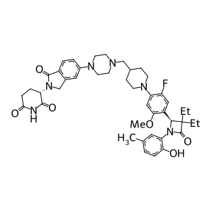 CCC1(CC)C(=O)N(c2cc(C)ccc2O)[C@H]1c1cc(F)c(N2CCC(CN3CCN(c4ccc5c(c4)CN([C@H]4CCC(=O)NC4=O)C5=O)CC3)CC2)cc1OC